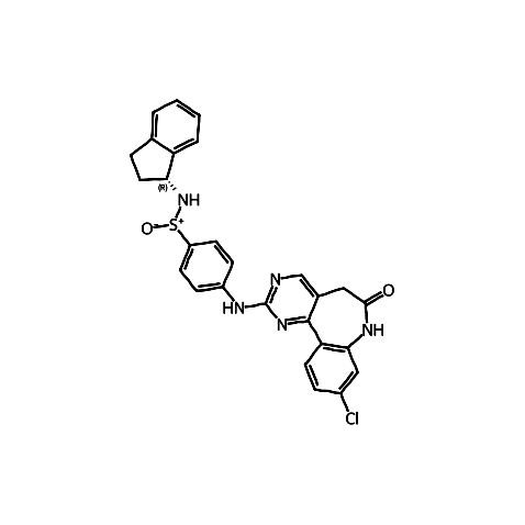 O=C1Cc2cnc(Nc3ccc([S+]([O-])N[C@@H]4CCc5ccccc54)cc3)nc2-c2ccc(Cl)cc2N1